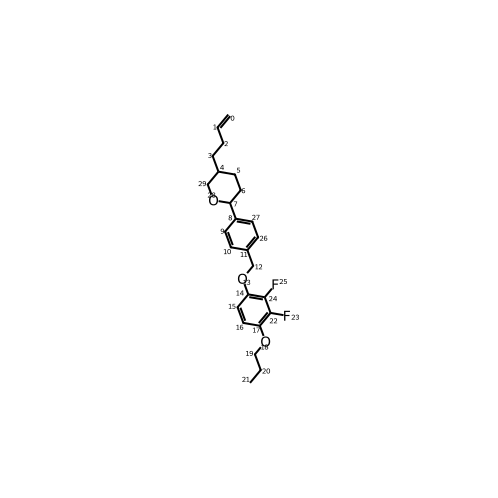 C=CCCC1CCC(c2ccc(COc3ccc(OCCC)c(F)c3F)cc2)OC1